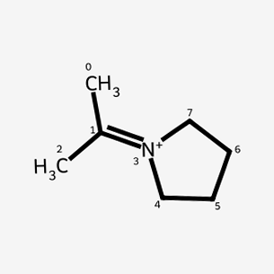 CC(C)=[N+]1CCCC1